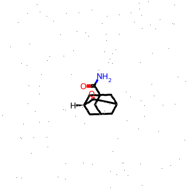 NC(=O)C12CC3CC(C1)C(=O)[C@H](C3)C2